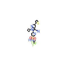 C[C@H](NS(=O)(=O)c1ccc(-c2c(C#N)c3cc(-c4cccs4)cnc3n2C2CCC2)nc1)C(F)(F)F